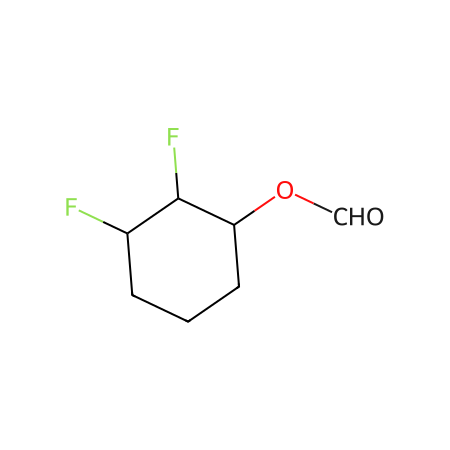 O=COC1CCCC(F)C1F